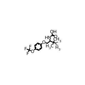 CC(C)(C)C(COc1ccc(OC(F)(F)F)cc1)NC(=O)O